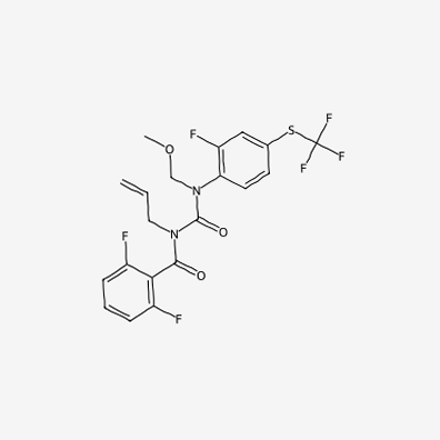 C=CCN(C(=O)c1c(F)cccc1F)C(=O)N(COC)c1ccc(SC(F)(F)F)cc1F